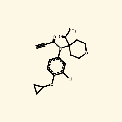 C#CC(=O)N(c1ccc(OC2CC2)c(Cl)c1)C1(C(N)=O)CCOCC1